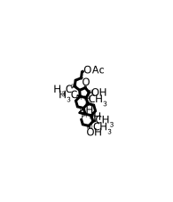 CC(=O)OCC1C[C@@H](C)C2C(O1)[C@H](O)[C@@]1(C)[C@@H]3CC[C@H]4C(C)(C)[C@@H](O)CC[C@@]45C[C@@]35CC[C@]21C